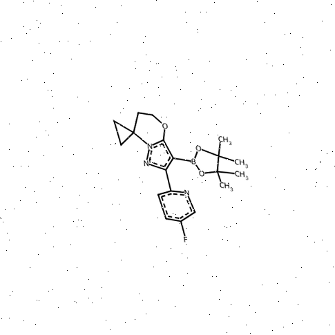 CC1(C)OB(c2c(-c3ccc(F)cn3)nn3c2OCCC32CC2)OC1(C)C